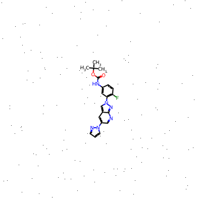 CC(C)(C)OC(=O)Nc1ccc(F)c(-n2cc3cc(-n4cccn4)cnc3n2)c1